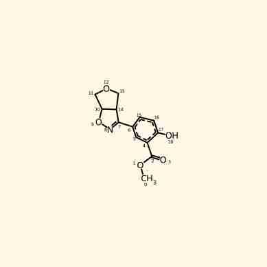 COC(=O)c1cc(C2=NOC3COCC23)ccc1O